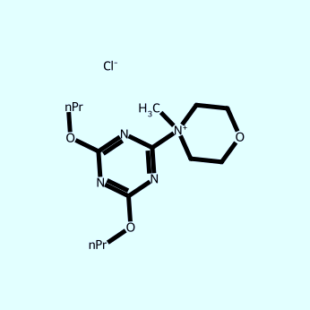 CCCOc1nc(OCCC)nc([N+]2(C)CCOCC2)n1.[Cl-]